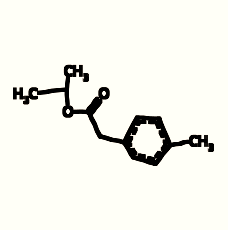 Cc1ccc(CC(=O)OC(C)C)cc1